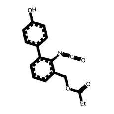 CCC(=O)OCc1cccc(-c2ccc(O)cc2)c1N=C=O